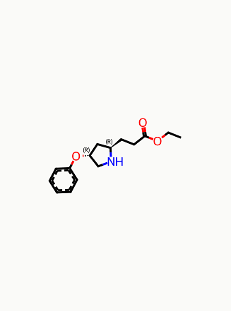 CCOC(=O)CC[C@@H]1C[C@@H](Oc2ccccc2)CN1